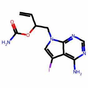 C=CC(Cn1cc(I)c2c(N)ncnc21)OC(N)=O